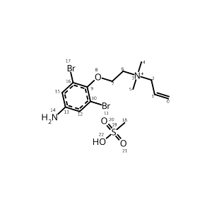 C=CC[N+](C)(C)CCOc1c(Br)cc(N)cc1Br.CS(=O)(=O)O